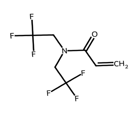 C=CC(=O)N(CC(F)(F)F)CC(F)(F)F